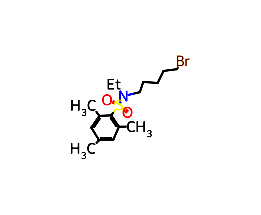 CCN(CCCCCBr)S(=O)(=O)c1c(C)cc(C)cc1C